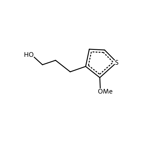 COc1sccc1CCCO